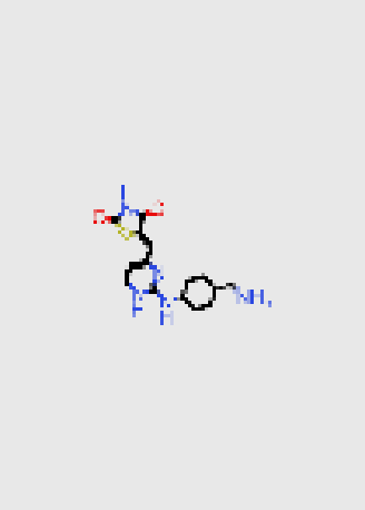 NC[C@H]1CC[C@H](NC2=NC(/C=C3\SC(=O)NC3=O)=CCN2)CC1